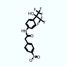 O=C(Cc1ccc([N+](=O)[O-])cc1)Nc1ccc(C(O)(C(F)(F)F)C(F)(F)F)cc1